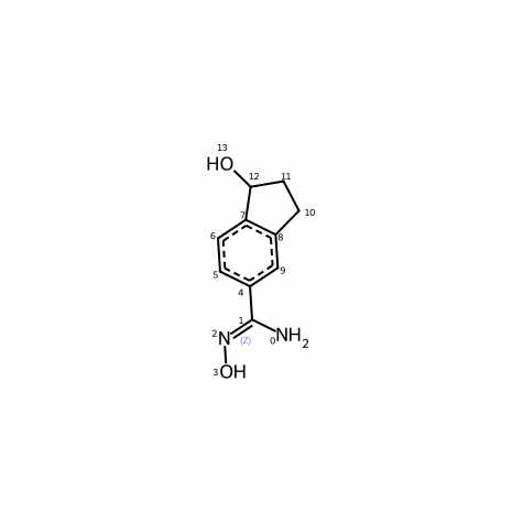 N/C(=N\O)c1ccc2c(c1)CCC2O